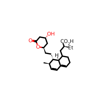 CC[C@@H](CC1CCC=C2C=C[C@@H](C)[C@H](CC[C@@H]3C[C@@H](O)CC(=O)O3)[C@H]21)C(=O)O